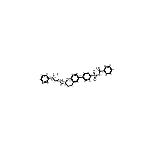 O=C(NS(=O)(=O)c1ccc(-c2ccc3c(c2)CC[C@H](CNC[C@@H](O)c2cccnc2)O3)cc1)c1ccccc1